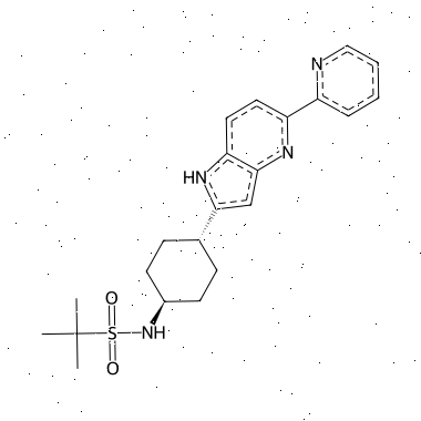 CC(C)(C)S(=O)(=O)N[C@H]1CC[C@H](c2cc3nc(-c4ccccn4)ccc3[nH]2)CC1